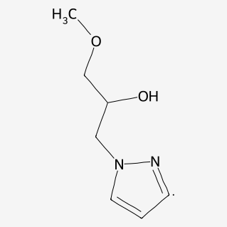 COCC(O)Cn1cc[c]n1